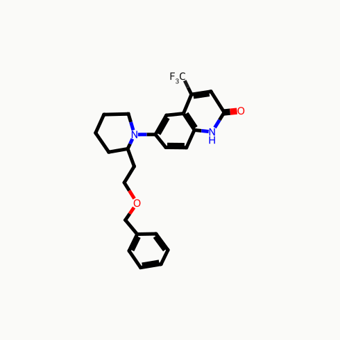 O=c1cc(C(F)(F)F)c2cc(N3CCCCC3CCOCc3ccccc3)ccc2[nH]1